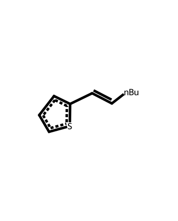 [CH2]CCC/C=C/c1cccs1